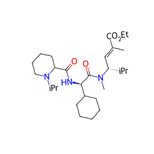 CCOC(=O)/C(C)=C/[C@H](C(C)C)N(C)C(=O)[C@H](NC(=O)C1CCCCN1C(C)C)C1CCCCC1